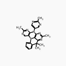 Cc1ncc(N2c3nc(C)ncc3B3c4ccccc4C(C)(C)c4nc(C)nc2c43)cn1